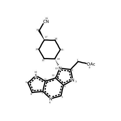 CC(=O)OCc1nc2cnc3ccsc3c2n1[C@H]1CC[C@H](CC#N)CC1